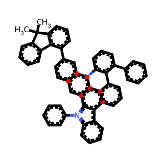 CC1(C)c2ccccc2-c2c(-c3cccc(N(c4ccc5c6ccccc6n(-c6ccccc6)c5c4)c4cccc(-c5ccccc5)c4-c4ccccc4-c4ccccc4)c3)cccc21